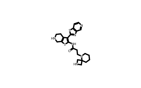 O=C(CCN1CCCCC12CNC2)Nc1sc2c(c1-c1nc3cnccc3s1)CCNC2